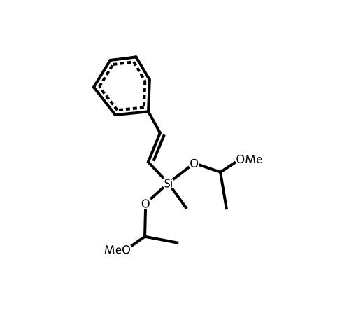 COC(C)O[Si](C)(C=Cc1ccccc1)OC(C)OC